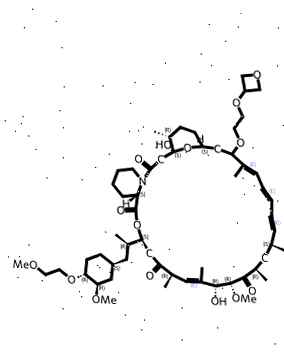 COCCO[C@@H]1CC[C@@H](C[C@@H](C)[C@@H]2CC(=O)[C@H](C)/C=C(\C)[C@@H](O)[C@@H](OC)C(=O)[C@H](C)C[C@H](C)/C=C/C=C/C=C(\C)C(OCCOC3COC3)C[C@@H]3CC[C@@H](C)[C@](O)(CC(=O)N4CCCC[C@H]4C(=O)O2)O3)C[C@H]1OC